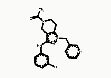 CC(=O)N1CCc2c(c(Nc3cccc(C)c3)nn2Cc2cccnc2)C1